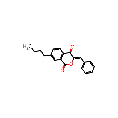 CCCCc1ccc2c(c1)C(=O)O/C(=C\c1ccccc1)C2=O